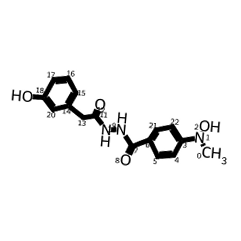 CN(O)c1ccc(C(=O)NNC(=O)Cc2cccc(O)c2)cc1